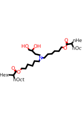 CCCCCCCCC(CCCCCC)C(=O)OCCCCCCN(CCCCCCOC(=O)C(CCCCCC)CCCCCCCC)CCC(O)CO